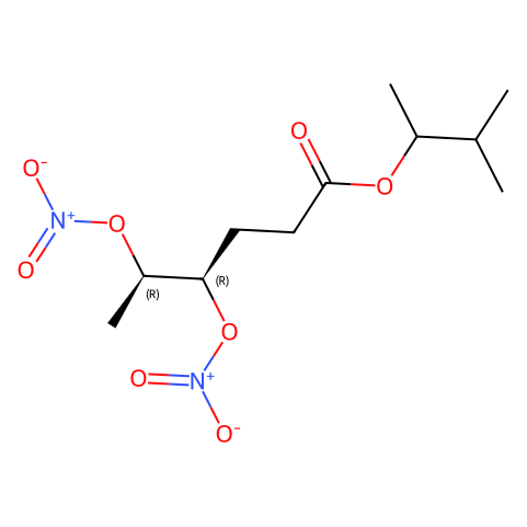 CC(C)C(C)OC(=O)CC[C@@H](O[N+](=O)[O-])[C@@H](C)O[N+](=O)[O-]